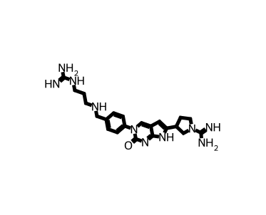 N=C(N)NCCCNCc1ccc(-n2cc3cc(C4CCN(C(=N)N)C4)[nH]c3nc2=O)cc1